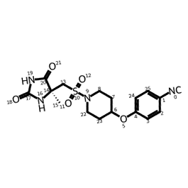 [C-]#[N+]c1ccc(OC2CCN(S(=O)(=O)C[C@@]3(C)NC(=O)NC3=O)CC2)cc1